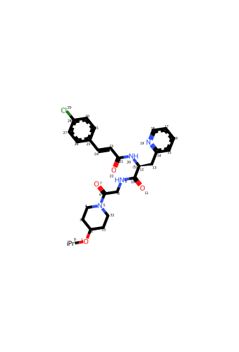 CC(C)OC1CCN(C(=O)CNC(=O)[C@H](Cc2ccccn2)NC(=O)C=Cc2ccc(Cl)cc2)CC1